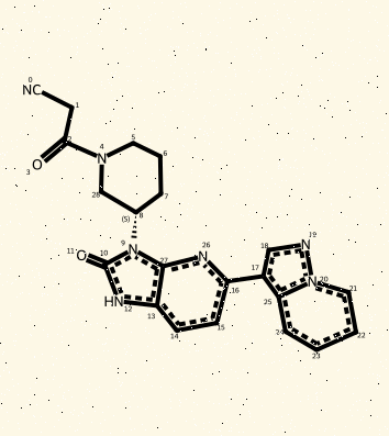 N#CCC(=O)N1CCC[C@H](n2c(=O)[nH]c3ccc(-c4cnn5ccccc45)nc32)C1